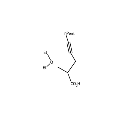 CCCCCC#CCC(C)C(=O)O.CCOCC